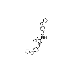 ClN=C(N/N=C/c1ccc(OC2CCCC2)cc1)N/N=C/c1ccc(OC2CCCC2)cc1